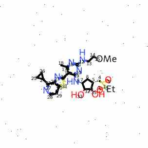 CCS(=O)(=O)C[C@H]1C[C@@H](Nc2nc(NCCOC)nc(C)c2-c2nc3c(C4CC4)nccc3s2)[C@H](O)[C@@H]1O